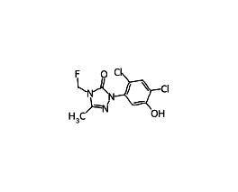 Cc1nn(-c2cc(O)c(Cl)cc2Cl)c(=O)n1CF